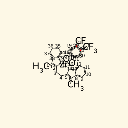 CC1=C2CCC3=C(C)c4ccccc4[CH]3[Zr]([O]c3ccc(C(F)(F)F)cc3)([O]c3ccc(C(F)(F)F)cc3)[CH]2c2ccccc21